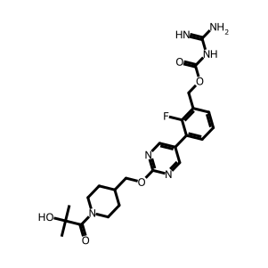 CC(C)(O)C(=O)N1CCC(COc2ncc(-c3cccc(COC(=O)NC(=N)N)c3F)cn2)CC1